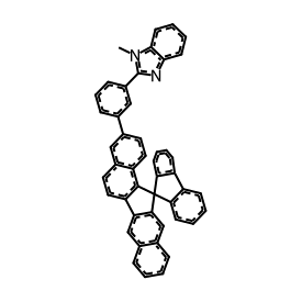 Cn1c(-c2cccc(-c3ccc4c5c(ccc4c3)-c3cc4ccccc4cc3C53c4ccccc4-c4ccccc43)c2)nc2ccccc21